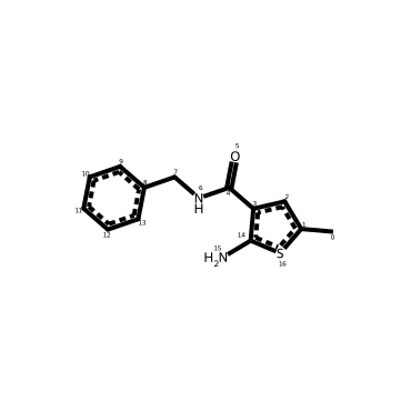 Cc1cc(C(=O)NCc2ccccc2)c(N)s1